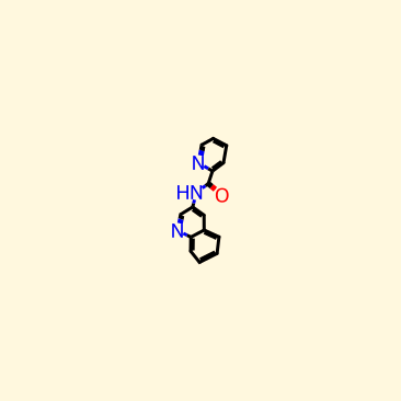 O=C(Nc1cnc2ccccc2c1)c1ccccn1